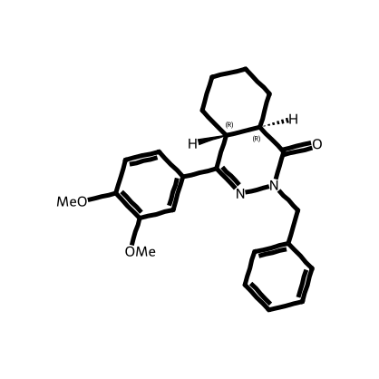 COc1ccc(C2=NN(Cc3ccccc3)C(=O)[C@@H]3CCCC[C@@H]23)cc1OC